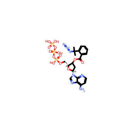 CC(C)(N=[N+]=[N-])c1ccccc1C(=O)OC1C[C@H](n2cnc3c(N)ccnc32)O[C@@H]1COP(=O)(O)OP(=O)(O)OP(=O)(O)O